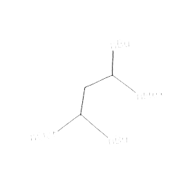 CCCCCCCCC(CCCC)CC(CCCC)CCCCCC